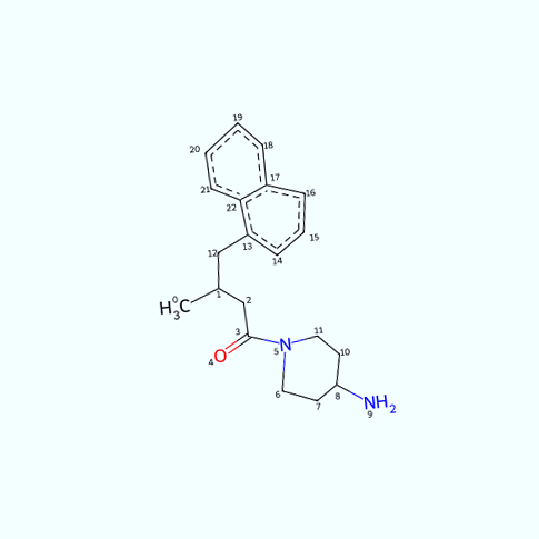 CC(CC(=O)N1CCC(N)CC1)Cc1cccc2ccccc12